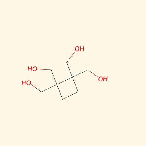 OCC1(CO)CCC1(CO)CO